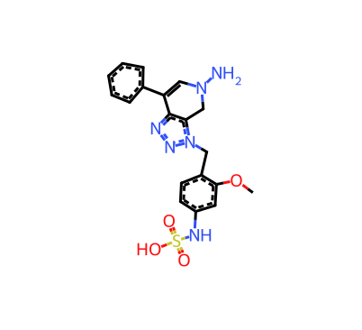 COc1cc(NS(=O)(=O)O)ccc1Cn1nnc2c1CN(N)C=C2c1ccccc1